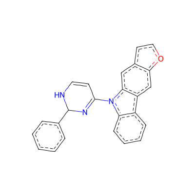 C1=CC(n2c3ccccc3c3cc4occc4cc32)=NC(c2ccccc2)N1